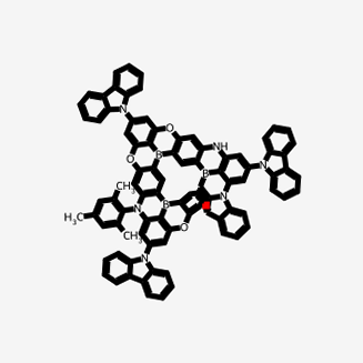 Cc1cc(C)c(N2c3cc4c(cc3B3c5ccccc5Oc5cc(-n6c7ccccc7c7ccccc76)cc2c53)B2c3cc5c(cc3Oc3cc(-n6c7ccccc7c7ccccc76)cc(c32)O4)Nc2cc(-n3c4ccccc4c4ccccc43)cc3c2B5c2cccc4c5ccccc5n-3c24)c(C)c1